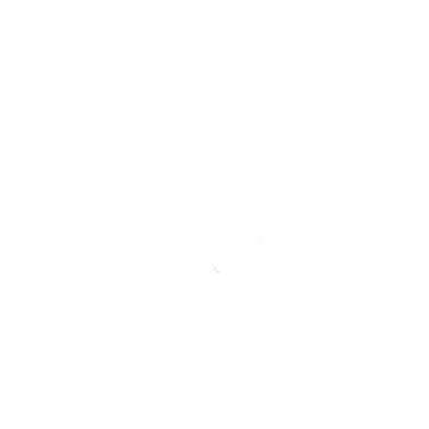 O=C(O)CCc1cn(CCNS(=O)(=O)c2ccc(F)cc2)c2ccccc12